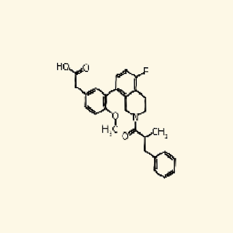 COc1ccc(CC(=O)O)cc1-c1ccc(F)c2c1CN(C(=O)C(C)Cc1ccccc1)CC2